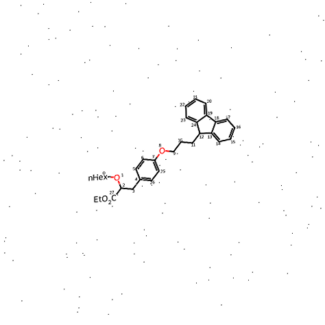 CCCCCCOC(Cc1ccc(OCCCC2c3ccccc3-c3ccccc32)cc1)C(=O)OCC